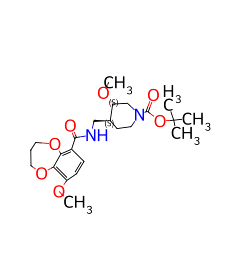 COc1ccc(C(=O)NC[C@@H]2CCN(C(=O)OC(C)(C)C)C[C@H]2OC)c2c1OCCCO2